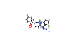 Cc1ccc(C(=O)N2CCC3(N=C(N)c4c(F)cccc4N3)C(F)C2)cc1